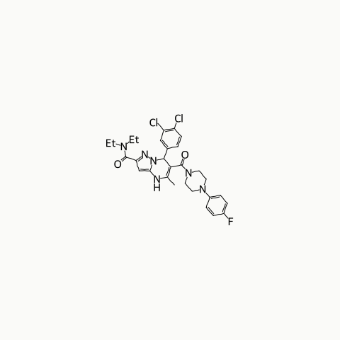 CCN(CC)C(=O)c1cc2n(n1)C(c1ccc(Cl)c(Cl)c1)C(C(=O)N1CCN(c3ccc(F)cc3)CC1)=C(C)N2